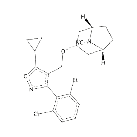 CCc1cccc(Cl)c1-c1noc(C2CC2)c1CO[C@H]1C[C@H]2CC[C@@H](C1)N2C#N